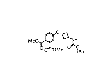 COC(=O)c1ccc(O[C@H]2C[C@H](NC(=O)OC(C)(C)C)C2)cc1C(=O)OC